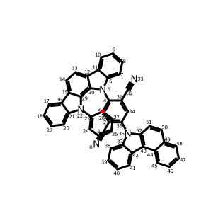 N#Cc1cc(-n2c3ccccc3c3ccc4c5ccccc5n(-c5ccccc5)c4c32)c(C#N)cc1-n1c2ccccc2c2c3ccccc3ccc21